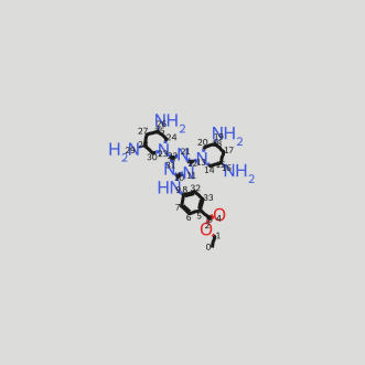 CCOC(=O)c1ccc(Nc2nc(N3C[C@H](N)C[C@H](N)C3)nc(N3C[C@H](N)C[C@H](N)C3)n2)cc1